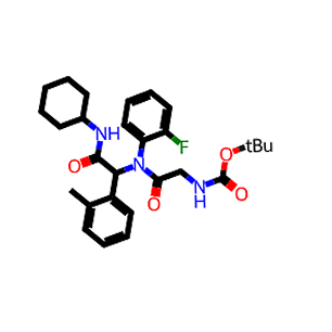 Cc1ccccc1C(C(=O)NC1CCCCC1)N(C(=O)CNC(=O)OC(C)(C)C)c1ccccc1F